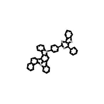 c1ccc(-c2nc(-c3ccc(-n4c5ccccc5c5c6c7ccc8ccccc8c7n7c8ccccc8c(cc54)c67)cc3)nc3c2sc2ccccc23)cc1